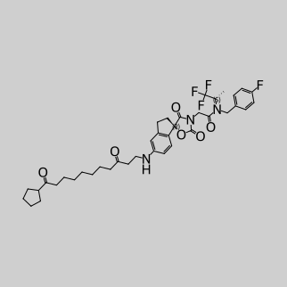 C[C@H](N(Cc1ccc(F)cc1)C(=O)CN1C(=O)O[C@@]2(CCc3cc(NCCC(=O)CCCCCCCC(=O)C4CCCC4)ccc32)C1=O)C(F)(F)F